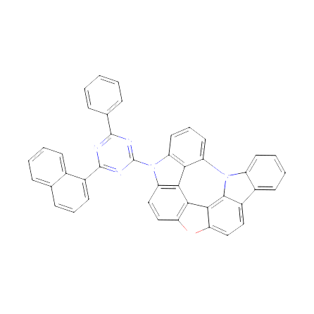 c1ccc(-c2nc(-c3cccc4ccccc34)nc(-n3c4ccc5oc6ccc7c8ccccc8n8c9cccc3c9c4c5c6c78)n2)cc1